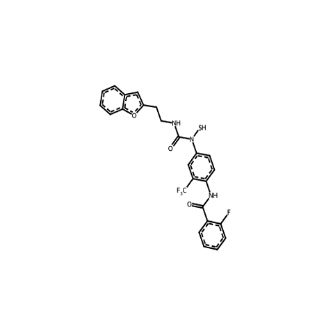 O=C(Nc1ccc(N(S)C(=O)NCCc2cc3ccccc3o2)cc1C(F)(F)F)c1ccccc1F